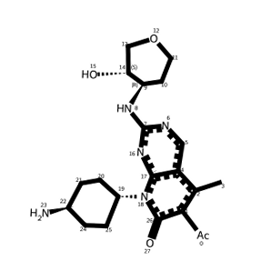 CC(=O)c1c(C)c2cnc(N[C@@H]3CCOC[C@H]3O)nc2n([C@H]2CC[C@H](N)CC2)c1=O